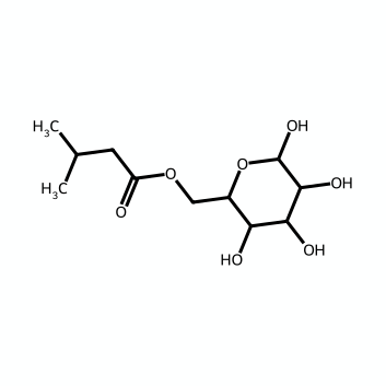 CC(C)CC(=O)OCC1OC(O)C(O)C(O)C1O